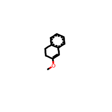 COC1=Cc2ccccc2CC1